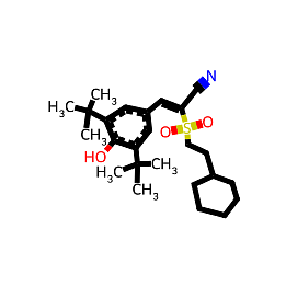 CC(C)(C)c1cc(C=C(C#N)S(=O)(=O)CCC2CCCCC2)cc(C(C)(C)C)c1O